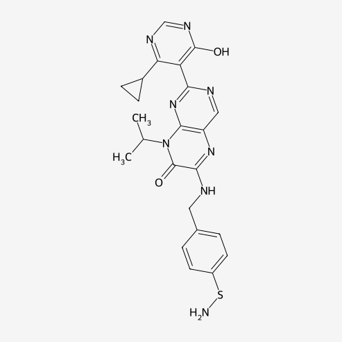 CC(C)n1c(=O)c(NCc2ccc(SN)cc2)nc2cnc(-c3c(O)ncnc3C3CC3)nc21